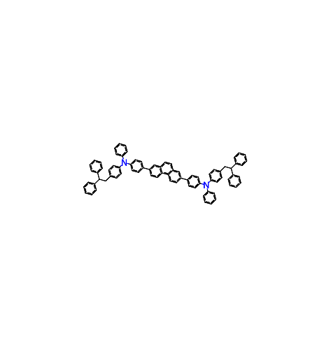 c1ccc(C(Cc2ccc(N(c3ccccc3)c3ccc(-c4ccc5c(ccc6cc(-c7ccc(N(c8ccccc8)c8ccc(CC(c9ccccc9)c9ccccc9)cc8)cc7)ccc65)c4)cc3)cc2)c2ccccc2)cc1